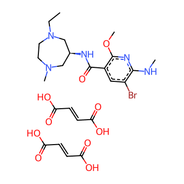 CCN1CCN(C)C[C@H](NC(=O)c2cc(Br)c(NC)nc2OC)C1.O=C(O)/C=C/C(=O)O.O=C(O)/C=C/C(=O)O